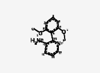 COc1cccc(OC)c1-c1ncccc1N